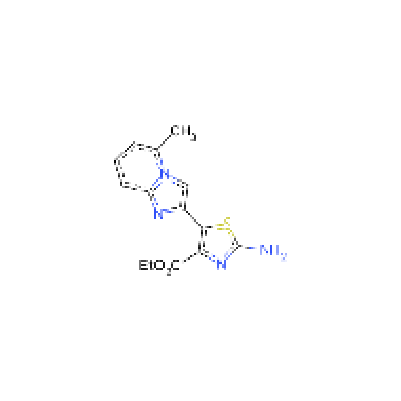 CCOC(=O)c1nc(N)sc1-c1cn2c(C)cccc2n1